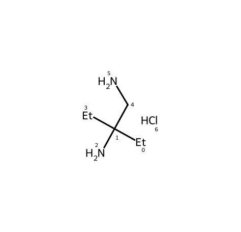 CCC(N)(CC)CN.Cl